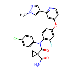 Cn1cc(-c2cc(Oc3ccc(N(C(=O)C4(C(N)=O)CC4)c4ccc(Cl)cc4)c(F)c3)ccn2)cn1